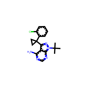 CC(C)(C)n1nc(C2(c3ccccc3Cl)CC2)c2c(N)ncnc21